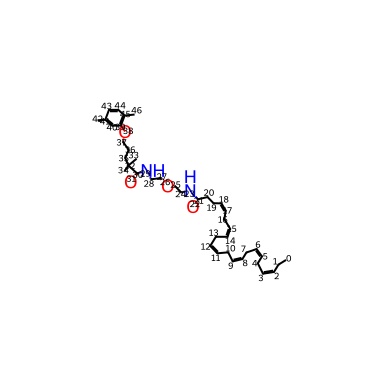 CC/C=C\C/C=C\C/C=C\C/C=C\C/C=C\C/C=C\CCC(=O)NCCOCCNC(=O)C(C)(C)CCCOc1cc(C)ccc1C